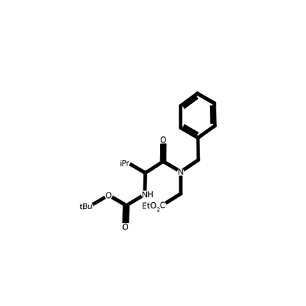 CCOC(=O)CN(Cc1ccccc1)C(=O)C(NC(=O)OC(C)(C)C)C(C)C